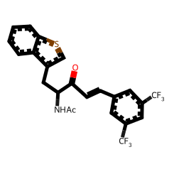 CC(=O)NC(Cc1csc2ccccc12)C(=O)C=Cc1cc(C(F)(F)F)cc(C(F)(F)F)c1